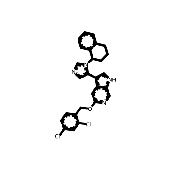 Clc1ccc(COc2cc3c(-c4cncn4C4CCCc5ccccc54)c[nH]c3cn2)c(Cl)c1